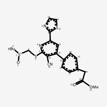 CCCC[S+]([O-])CSc1nc(-c2nccs2)cc(-c2ccc(CC(=O)OC)cc2)c1C#N